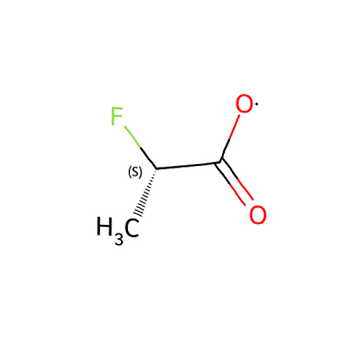 C[C@H](F)C([O])=O